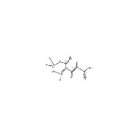 CC(=O)/C(C)=C(\C)C1=C(C)CC(C)(C)CC1=O